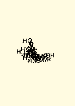 COC1OC(CO)C(OC2OC(CO)C(OC3OC(CO)C(C)C(O)C3NC(=O)Cc3ccc(O)cc3)C(O)C2N)C(O)C1NC(=O)Cc1ccc(O)cc1